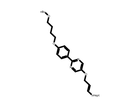 CCCCCCCC=CCOc1cnc(-c2ccc(OCCCCOCCCC)cc2)nc1